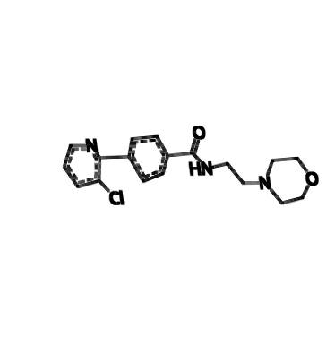 O=C(NCCN1CCOCC1)c1ccc(-c2ncccc2Cl)cc1